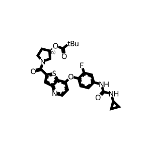 CC(C)(C)C(=O)O[C@H]1CCN(C(=O)c2cc3nccc(Oc4ccc(NC(=O)NC5CC5)cc4F)c3s2)C1